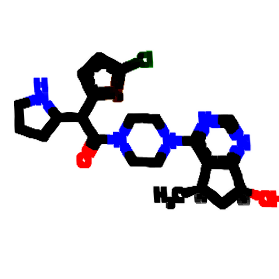 C[C@@H]1C[C@H](O)c2ncnc(N3CCN(C(=O)C(c4ccc(Cl)s4)C4CCCN4)CC3)c21